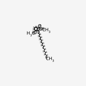 CCCCCCCCCCCCCCCCCCSc1c(OC)cccc1C(=O)OCC